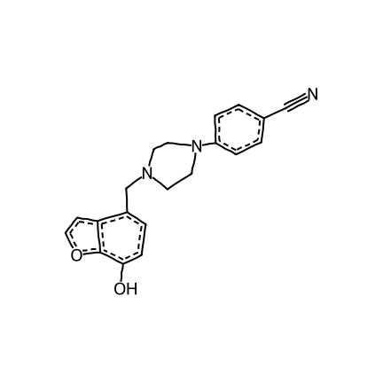 N#Cc1ccc(N2CCN(Cc3ccc(O)c4occc34)CC2)cc1